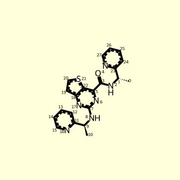 C[C@H](NC(=O)c1nc(N[C@@H](C)c2ccccn2)nc2ccsc12)c1ccccn1